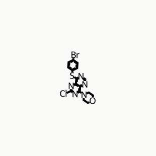 Clc1nc(N2CCOCC2)c2ncnc(Sc3ccc(Br)cc3)c2n1